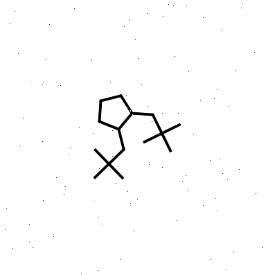 CC(C)(C)C[C]1CCCC1CC(C)(C)C